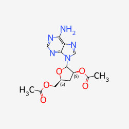 CC(=O)OC[C@@H]1C[C@H](OC(C)=O)C(n2cnc3c(N)ncnc32)O1